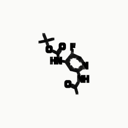 CC(=O)Nc1cc(NC(=O)OC(C)(C)C)c(F)cn1